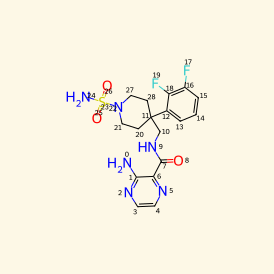 Nc1nccnc1C(=O)NCC1(c2cccc(F)c2F)CCN(S(N)(=O)=O)CC1